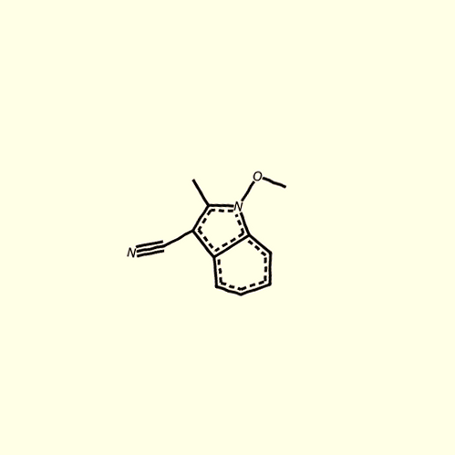 COn1c(C)c(C#N)c2ccccc21